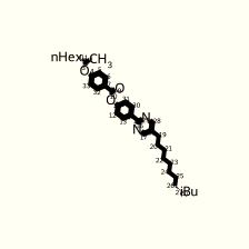 CCCCCC[C@@H](C)Oc1ccc(C(=O)Oc2ccc(-c3ncc(CCCCCCCC[C@@H](C)CC)cn3)cc2)cc1